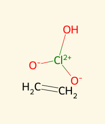 C=C.[O-][Cl+2]([O-])O